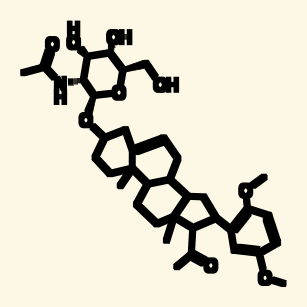 COc1ccc(OC)c(C2CC3C4CC=C5CC(O[C@@H]6O[C@H](CO)[C@@H](O)[C@H](O)[C@H]6NC(C)=O)CCC5(C)C4CCC3(C)C2C(C)=O)c1